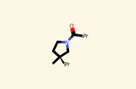 CC(C)C(=O)N1CC[C@](C)(C(C)C)C1